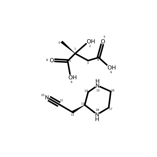 C[C@@](O)(CC(=O)O)C(=O)O.N#CC[C@H]1CNCCN1